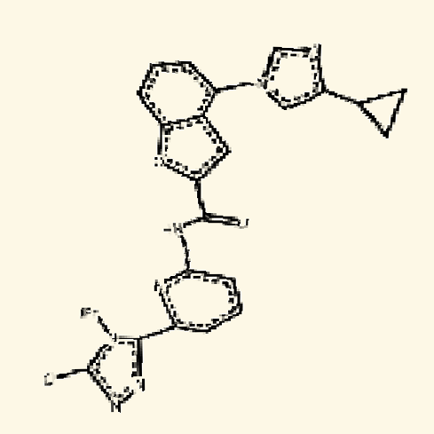 CC(C)n1c(Cl)nnc1-c1cccc(NC(=O)c2cc3c(-n4cnc(C5CC5)c4)cccc3o2)n1